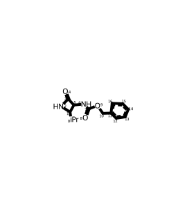 CC(C)C1NC(=O)C1NC(=O)OCc1ccccc1